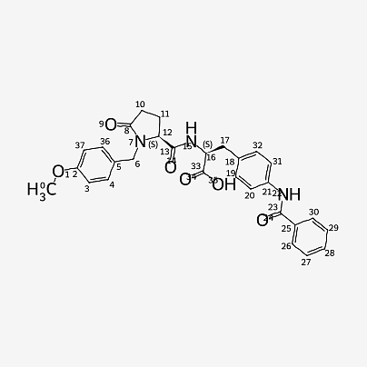 COc1ccc(CN2C(=O)CC[C@H]2C(=O)N[C@@H](Cc2ccc(NC(=O)c3ccccc3)cc2)C(=O)O)cc1